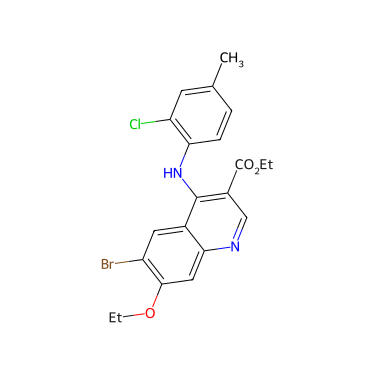 CCOC(=O)c1cnc2cc(OCC)c(Br)cc2c1Nc1ccc(C)cc1Cl